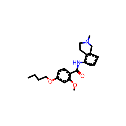 CCCCOc1ccc(C(=O)Nc2cccc3c2CCN(C)C3)c(OC)c1